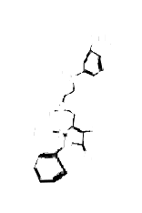 CCN(CCN(C)c1cccc(C)c1)Cc1c(Br)c(=O)n(-c2ccccc2)n1C